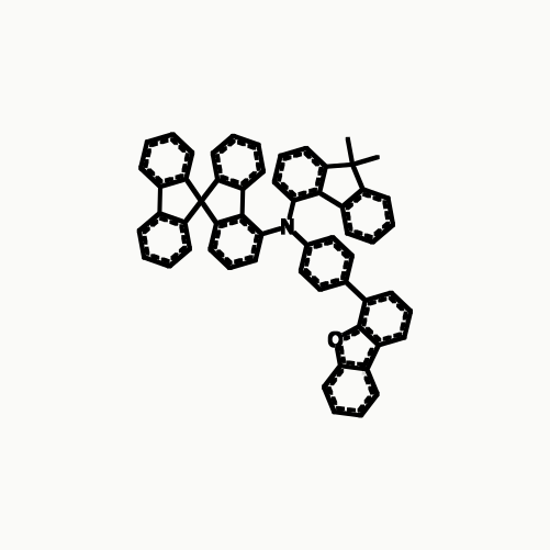 CC1(C)c2ccccc2-c2c(N(c3ccc(-c4cccc5c4oc4ccccc45)cc3)c3cccc4c3-c3ccccc3C43c4ccccc4-c4ccccc43)cccc21